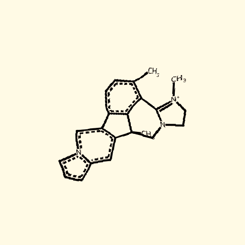 Cc1ccc2c3c1C1=[N+](C)CCN1CC3(C)c1cc3cccn3cc1-2